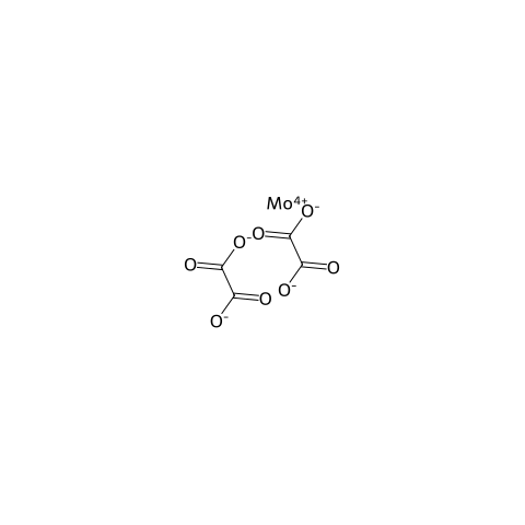 O=C([O-])C(=O)[O-].O=C([O-])C(=O)[O-].[Mo+4]